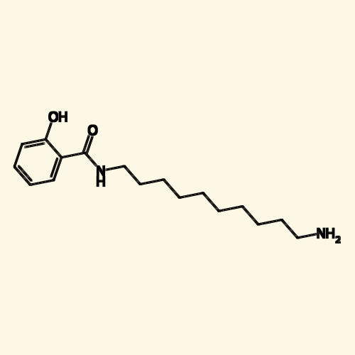 NCCCCCCCCCCNC(=O)c1ccccc1O